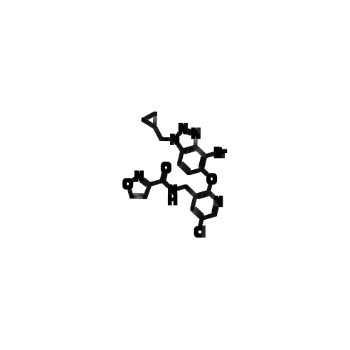 O=C(NCc1cc(Cl)cnc1Oc1ccc2c(nnn2CC2CC2)c1Br)c1ccon1